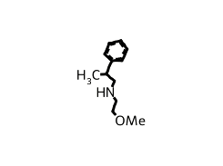 COCCNCC(C)c1ccccc1